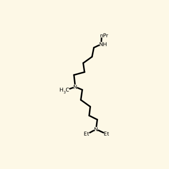 CCCNCCCCCN(C)CCCCCN(CC)CC